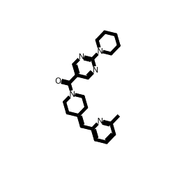 Cc1cccc(C=C2CCN(C(=O)c3cnc(N4CCCCC4)nc3)CC2)n1